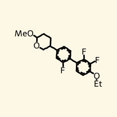 CCOc1ccc(-c2ccc(C3CCC(OC)OC3)cc2F)c(F)c1F